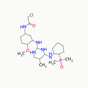 COC1CCC(NC(=O)CCl)CC1NC1NCC(C)C(NC2CCCCC2P(C)(C)=O)N1